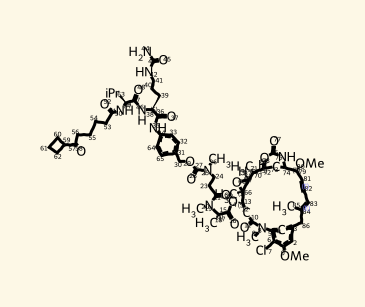 COc1cc2cc(c1Cl)N(C)C(=O)C[C@H](OC(=O)[C@H](C)N(C)C(=O)CCN(C)C(=O)OCc1ccc(NC(=O)[C@H](CCCNC(N)=O)NC(=O)[C@@H](NC(=O)CCCCC(=O)C3CCC3)C(C)C)cc1)[C@]1(C)O[C@H]1[C@H](C)[C@@H]1CC(NC(=O)O1)[C@H](OC)/C=C/C=C(\C)C2